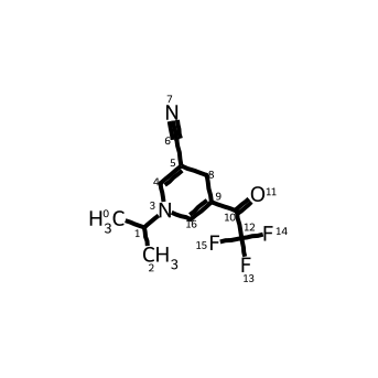 CC(C)N1C=C(C#N)CC(C(=O)C(F)(F)F)=C1